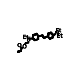 C=CC(=O)OCCN(CC)c1ccc(/C=C/c2ccc(N(CC)CC)cc2)cc1